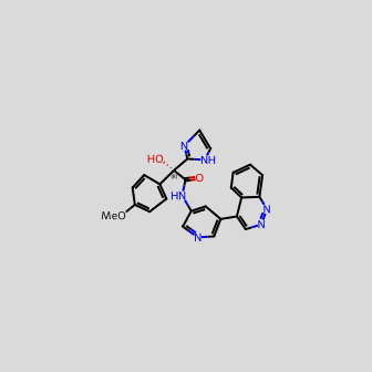 COc1ccc([C@](O)(C(=O)Nc2cncc(-c3cnnc4ccccc34)c2)c2ncc[nH]2)cc1